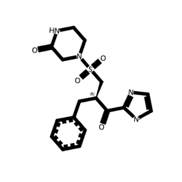 O=C1CN(S(=O)(=O)C[C@H](Cc2ccccc2)C(=O)C2=NC=C[N]2)CCN1